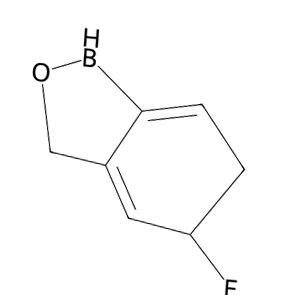 FC1C=C2COBC2=CC1